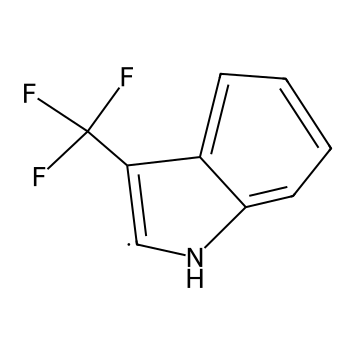 FC(F)(F)c1[c][nH]c2ccccc12